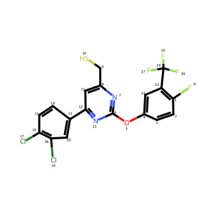 Fc1ccc(Oc2nc(CS)cc(-c3ccc(Cl)c(Cl)c3)n2)cc1C(F)(F)F